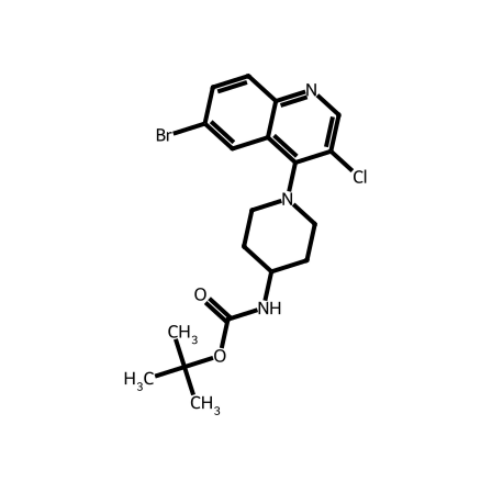 CC(C)(C)OC(=O)NC1CCN(c2c(Cl)cnc3ccc(Br)cc23)CC1